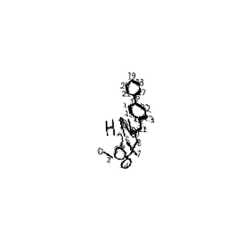 CCOC(=O)C(C)(C)C[C@H](N)Cc1ccc(-c2ccccc2)cc1